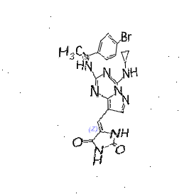 C[C@H](Nc1nc(NC2CC2)n2ncc(/C=C3\NC(=O)NC3=O)c2n1)c1ccc(Br)cc1